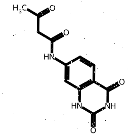 CC(=O)CC(=O)Nc1ccc2c(=O)[nH]c(=O)[nH]c2c1